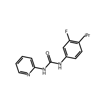 CC(C)c1ccc(NC(=O)Nc2ccccn2)cc1F